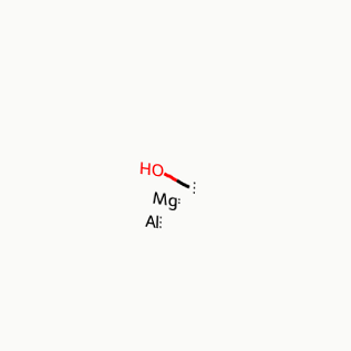 [Al].[C]O.[Mg]